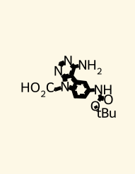 CC(C)(C)OC(=O)Nc1ccc2c(c1)c1c(N)ncnc1n2CC(=O)O